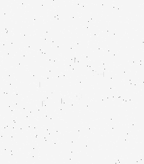 [O]c1c(C(F)(F)F)ccnc1O